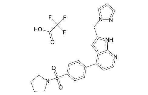 O=C(O)C(F)(F)F.O=S(=O)(c1ccc(-c2ccnc3[nH]c(Cn4cccn4)cc23)cc1)N1CCCC1